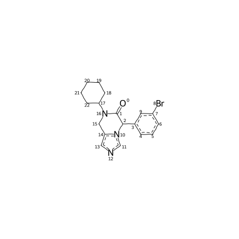 O=C1C(c2cccc(Br)c2)n2cncc2CN1C1CCCCC1